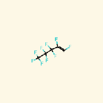 F/[C]=C(\F)C(F)(F)C(F)(F)C(F)(F)F